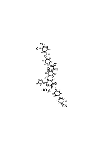 N#Cc1ccc(-c2ccc(C[C@H](NC(=O)[C@@H]3Cc4cc5c(cc4CN3C(=O)c3cccs3)OC(c3ccc(OCc4cnc(Cl)c(Cl)c4)cc3)C(=O)N5)C(=O)O)cc2)cc1